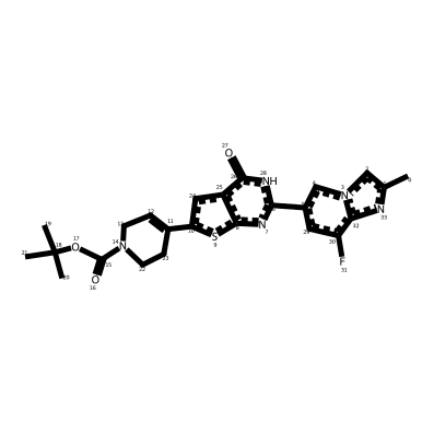 Cc1cn2cc(-c3nc4sc(C5=CCN(C(=O)OC(C)(C)C)CC5)cc4c(=O)[nH]3)cc(F)c2n1